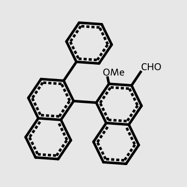 COc1c(C=O)cc2ccccc2c1-c1c(-c2ccccc2)ccc2ccccc12